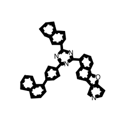 c1ccc2cc(-c3nc(-c4ccc(-c5cccc6ccccc56)cc4)nc(-c4cccc5c4ccc4c6cnccc6oc54)n3)ccc2c1